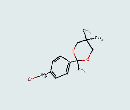 CC1(C)COC(C)(c2cc[c]([Mg][Br])cc2)OC1